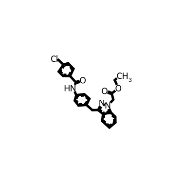 CCOC(=O)Cn1nc(Cc2ccc(NC(=O)c3ccc(Cl)cc3)cc2)c2ccccc21